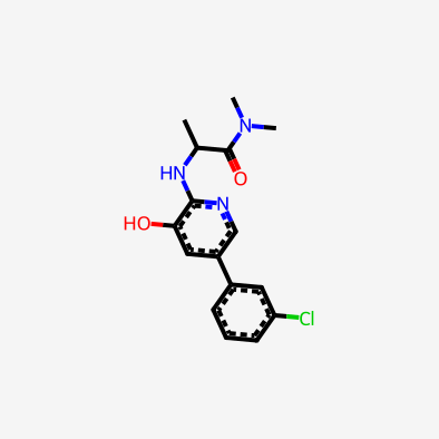 CC(Nc1ncc(-c2cccc(Cl)c2)cc1O)C(=O)N(C)C